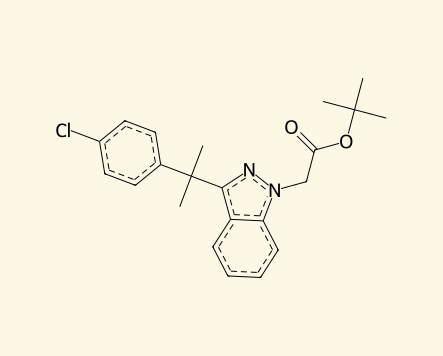 CC(C)(C)OC(=O)Cn1nc(C(C)(C)c2ccc(Cl)cc2)c2ccccc21